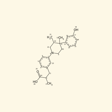 CC(Cc1cccc(N2CCC(C)(c3cccc(O)c3)C(C)C2)c1)C(=O)O